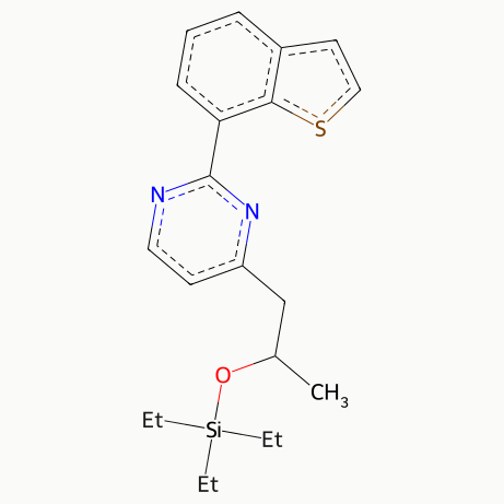 CC[Si](CC)(CC)OC(C)Cc1ccnc(-c2cccc3ccsc23)n1